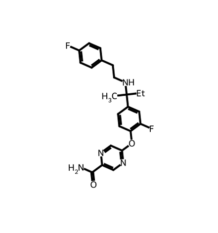 CCC(C)(NCCc1ccc(F)cc1)c1ccc(Oc2cnc(C(N)=O)cn2)c(F)c1